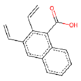 C=Cc1cc2ccccc2c(C(=O)O)c1C=C